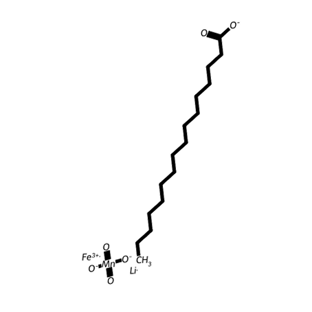 CCCCCCCCCCCCCCCC(=O)[O-].[Fe+3].[Li].[O]=[Mn](=[O])([O-])[O-]